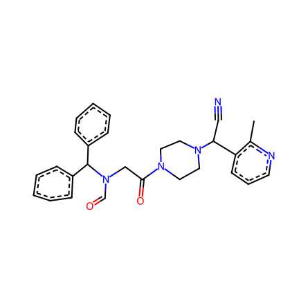 Cc1ncccc1C(C#N)N1CCN(C(=O)CN(C=O)C(c2ccccc2)c2ccccc2)CC1